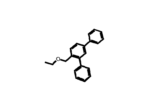 CCOCc1ccc(-c2ccccc2)cc1-c1ccccc1